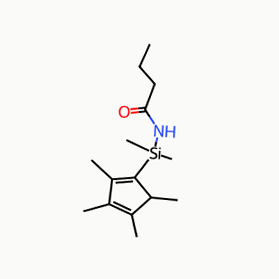 CCCC(=O)N[Si](C)(C)C1=C(C)C(C)=C(C)C1C